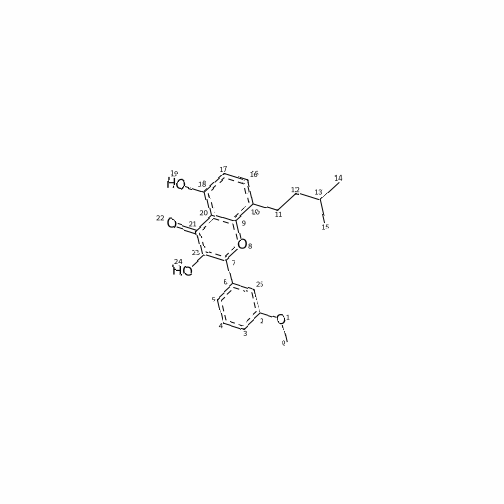 COc1cccc(-c2oc3c(CCC(C)C)ccc(O)c3c(=O)c2O)c1